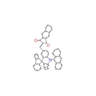 O=C1C(=Cc2ccc3c(c2)C2(c4ccccc4-c4ccccc42)c2ccccc2N3c2c3ccccc3cc3ccccc23)C(=O)c2cc3ccccc3cc21